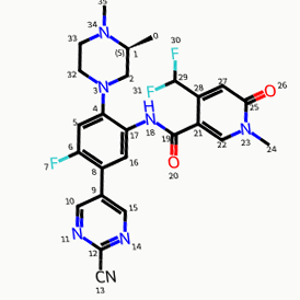 C[C@H]1CN(c2cc(F)c(-c3cnc(C#N)nc3)cc2NC(=O)c2cn(C)c(=O)cc2C(F)F)CCN1C